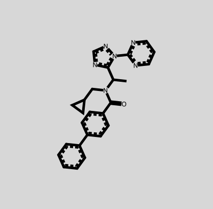 CC(c1ncnn1-c1ncccn1)N(CC1CC1)C(=O)c1ccc(-c2ccccc2)cc1